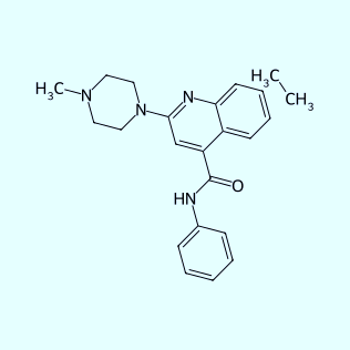 CC.CN1CCN(c2cc(C(=O)Nc3ccccc3)c3ccccc3n2)CC1